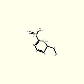 CCC1C=CC=C([N+](=O)[O-])S1